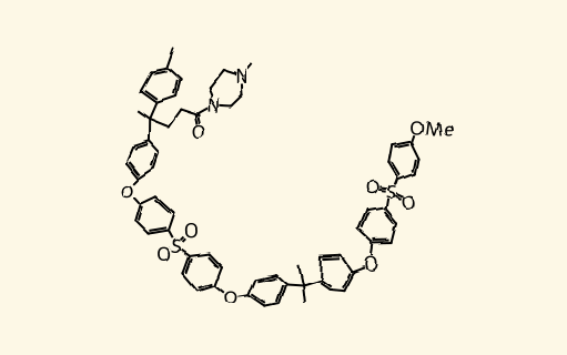 COc1ccc(S(=O)(=O)c2ccc(Oc3ccc(C(C)(C)c4ccc(Oc5ccc(S(=O)(=O)c6ccc(Oc7ccc(C(C)(CCC(=O)N8CCN(C)CC8)c8ccc(C)cc8)cc7)cc6)cc5)cc4)cc3)cc2)cc1